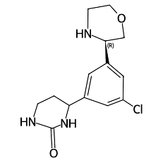 O=C1NCCC(c2cc(Cl)cc([C@@H]3COCCN3)c2)N1